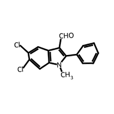 Cn1c(-c2ccccc2)c(C=O)c2cc(Cl)c(Cl)cc21